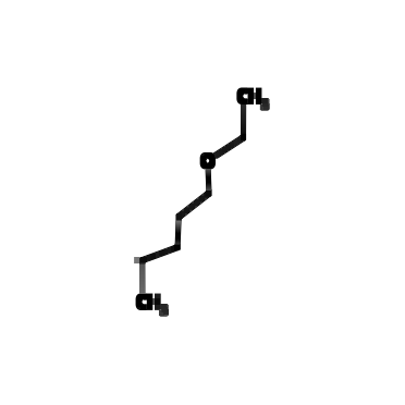 C[CH]CCCOCC